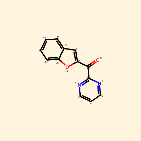 O=C(c1ncccn1)c1cc2ccccc2o1